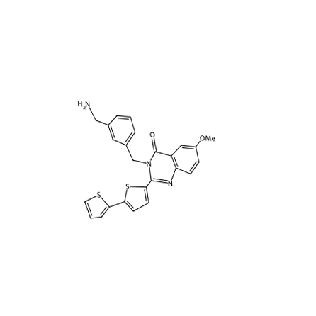 COc1ccc2nc(-c3ccc(-c4cccs4)s3)n(Cc3cccc(CN)c3)c(=O)c2c1